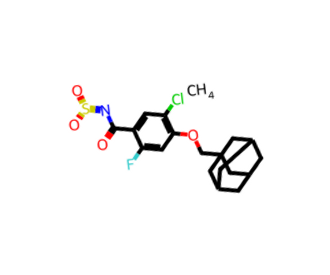 C.O=C(N=S(=O)=O)c1cc(Cl)c(OCC23CC4CC(CC(C4)C2)C3)cc1F